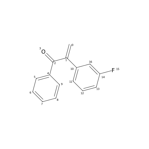 C=C(C(=O)c1ccccc1)c1cccc(F)c1